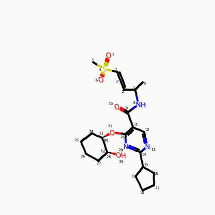 CC(/C=C/S(C)(=O)=O)NC(=O)c1cnc(C2CCCC2)nc1O[C@@H]1CCCC[C@@H]1O